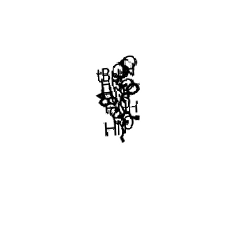 C#CCCC(NC(=O)[C@@H]1[C@H]2CCC3(CC3)[C@H]2CN1C(=O)[C@@H](NC(=O)N[C@H](CN(C)S(C)(=O)=O)C(C)(C)C)C1(C)CCCCC1)C(=O)C(=O)NCC=C